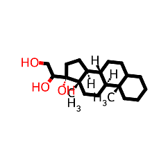 C[C@]12CCCCC1CC[C@@H]1[C@@H]2CC[C@@]2(C)[C@H]1CC[C@]2(O)C(O)CO